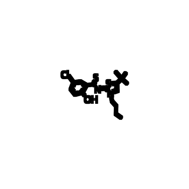 CCCCn1cc(C(C)(C)C)s/c1=N\C(=S)c1cc(Cl)ccc1O